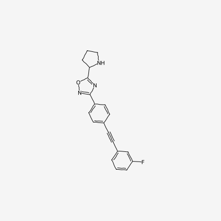 Fc1cccc(C#Cc2ccc(-c3noc(C4CCCN4)n3)cc2)c1